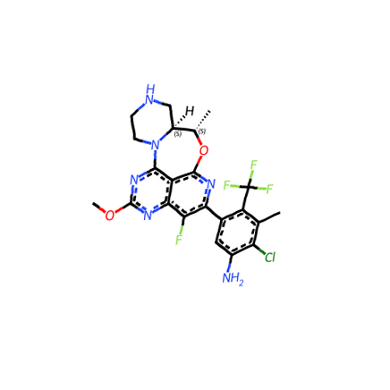 COc1nc2c3c(nc(-c4cc(N)c(Cl)c(C)c4C(F)(F)F)c(F)c3n1)O[C@@H](C)[C@@H]1CNCCN21